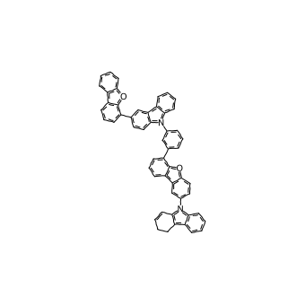 C1=Cc2c(c3ccccc3n2-c2ccc3oc4c(-c5cccc(-n6c7ccccc7c7cc(-c8cccc9c8oc8ccccc89)ccc76)c5)cccc4c3c2)CC1